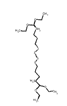 CCOC(OCC)[SiH2]CCCSSSSCCC[SiH2]C(OCC)OCC